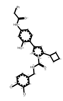 CC(C)CC(=O)Nc1ccc(-c2cc(C3CCC3)n(C(=O)NCc3ccc(Cl)c(Cl)c3)n2)c(O)c1